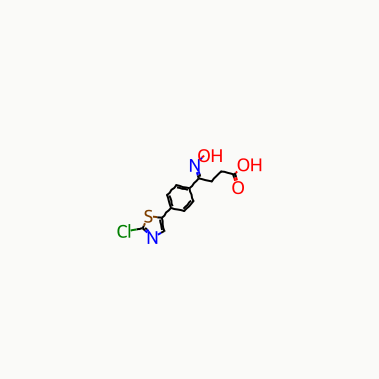 O=C(O)CCC(=NO)c1ccc(-c2cnc(Cl)s2)cc1